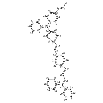 CC=Cc1ccc(N(c2ccccc2)c2ccc(C=Cc3ccc(C=CC=C(c4ccccc4)c4ccccc4)cc3)cc2)cc1